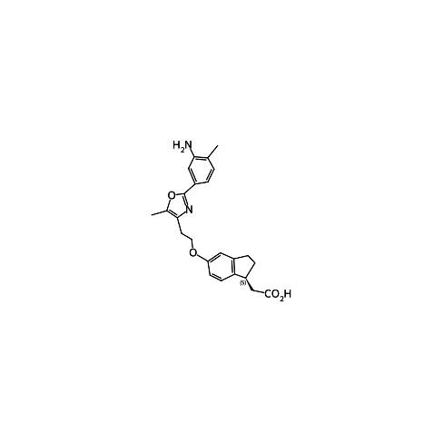 Cc1ccc(-c2nc(CCOc3ccc4c(c3)CC[C@H]4CC(=O)O)c(C)o2)cc1N